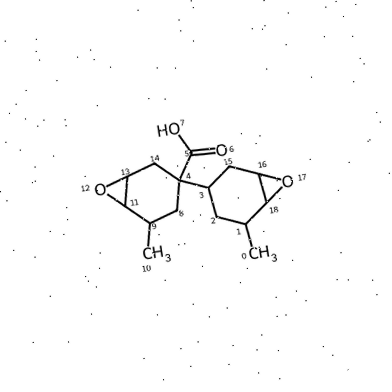 CC1CC(C2(C(=O)O)CC(C)C3OC3C2)CC2OC12